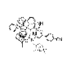 CC1C(CN2C(=O)C(C(CC(c3ccccc3)(c3ccccc3)c3ccccc3)c3c[nH]cn3)(C(c3c[nH]cn3)C(c3ccccc3)(c3ccccc3)c3ccccc3)NC2=CC(=O)c2ccc(C#N)cc2)CC2CC1C2(C)C